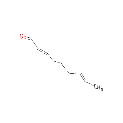 CC=CCCCC=CC=O